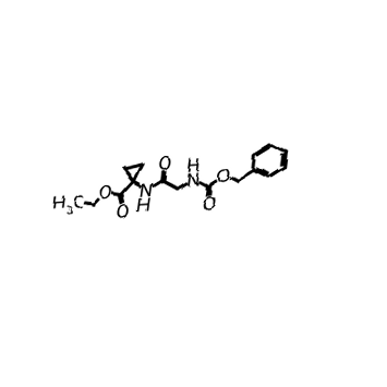 CCOC(=O)C1(NC(=O)CNC(=O)OCc2ccccc2)CC1